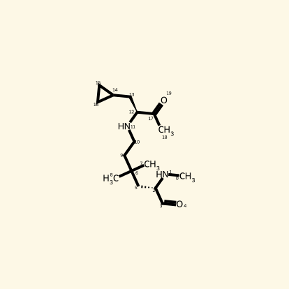 CN[C@H](C=O)CC(C)(C)CCN[C@@H](CC1CC1)C(C)=O